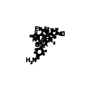 C=CC(c1ccc(CN)cc1)S(=O)(=O)n1nccc1C(NS(=O)(=O)c1ccc(Cl)s1)C(CC)CC